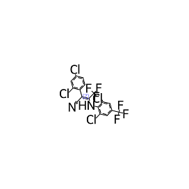 N#C/C(=C(\Nc1c(Cl)cc(C(F)(F)F)cc1Cl)C(F)(F)F)c1ccc(Cl)cc1Cl